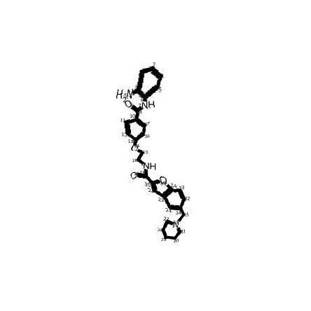 Nc1ccccc1NC(=O)c1ccc(OCCNC(=O)c2cc3cc(CN4CCCCC4)ccc3o2)cc1